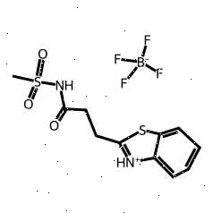 CS(=O)(=O)NC(=O)CCc1[nH+]c2ccccc2s1.F[B-](F)(F)F